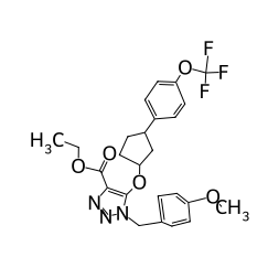 CCOC(=O)c1nnn(Cc2ccc(OC)cc2)c1OC1CCC(c2ccc(OC(F)(F)F)cc2)C1